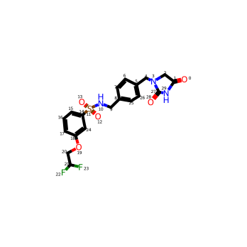 O=C1CN(Cc2ccc(CNS(=O)(=O)c3cccc(OCC(F)F)c3)cc2)C(=O)N1